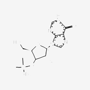 CC(C)(C)[Si](C)(C)OC1[C@@H](F)[C@H](n2cnc3c(=O)[nH]cnc32)O[C@@H]1CO